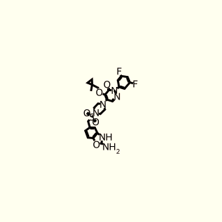 CC1(COc2c(N3CCN(S(=O)(=O)Cc4ccc5c(c4)NC(N)O5)CC3)cnn(-c3cc(F)cc(F)c3)c2=O)CC1